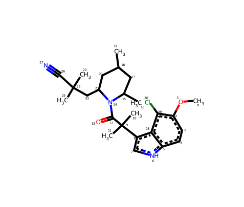 COc1ccc2[nH]cc(C(C)(C)C(=O)N3C(C)CC(C)CC3CC(C)(C)C#N)c2c1Cl